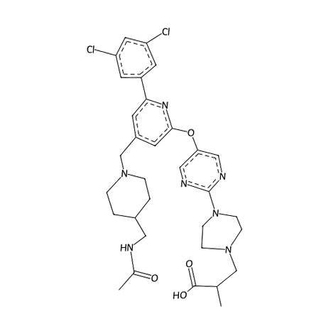 CC(=O)NCC1CCN(Cc2cc(Oc3cnc(N4CCN(CC(C)C(=O)O)CC4)nc3)nc(-c3cc(Cl)cc(Cl)c3)c2)CC1